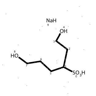 O=S(=O)(O)C(CCO)CCCO.[NaH]